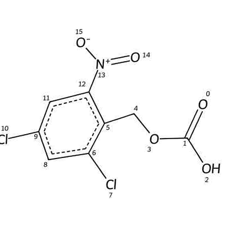 O=C(O)OCc1c(Cl)cc(Cl)cc1[N+](=O)[O-]